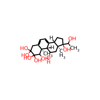 C[C@H](O)[C@@]1(O)CC[C@H]2C3=CC=C4CC(O)(O)C(O)(O)C(O)[C@]4(C)[C@H]3[C@@H](O)C[C@@]21C